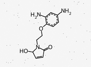 Nc1ccc(OCCN2C(=O)C=CC2O)c(N)c1